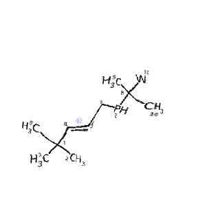 CC(C)(C)/C=C/CP[C](C)(C)[W]